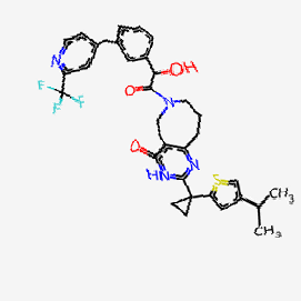 CC(C)c1csc(C2(c3nc4c(c(=O)[nH]3)CN(C(=O)C(O)c3cccc(-c5ccnc(C(F)(F)F)c5)c3)CCC4)CC2)c1